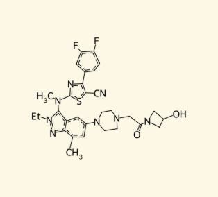 CCn1nc2c(C)cc(N3CCN(CC(=O)N4CC(O)C4)CC3)cc2c1N(C)c1nc(-c2ccc(F)c(F)c2)c(C#N)s1